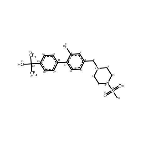 CCc1cc(CN2CCN(S(C)(=O)=O)CC2)ccc1-c1ccc(C(O)(C(F)(F)F)C(F)(F)F)cc1